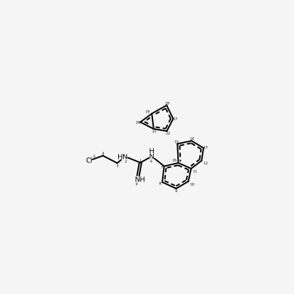 N=C(NCCCl)Nc1cccc2ccccc12.c1cc2cc-2c1